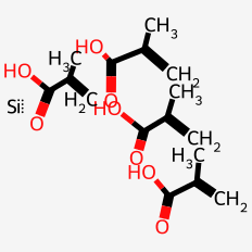 C=C(C)C(=O)O.C=C(C)C(=O)O.C=C(C)C(=O)O.C=C(C)C(=O)O.[Si]